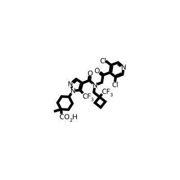 CC1(C(=O)O)CCC(n2ncc(C(=O)N(CC(=O)c3c(Cl)cncc3Cl)CC3(C(F)(F)F)CCC3)c2C(F)(F)F)CC1